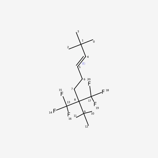 CC(C)(C)/C=C/CCC(C(C)(C)C)(C(F)(F)F)C(F)(F)F